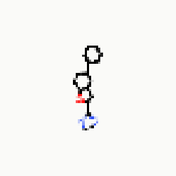 c1ccc(-c2ccc3oc(C4=NCCN4)cc3c2)cc1